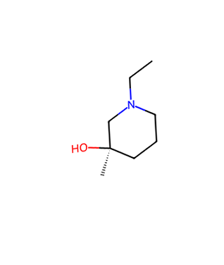 CCN1CCC[C@@](C)(O)C1